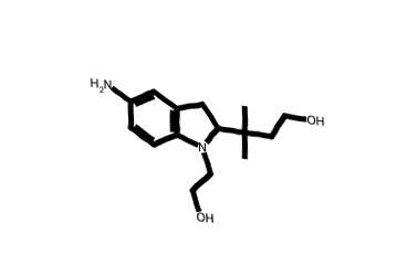 CC(C)(CCO)C1Cc2cc(N)ccc2N1CCO